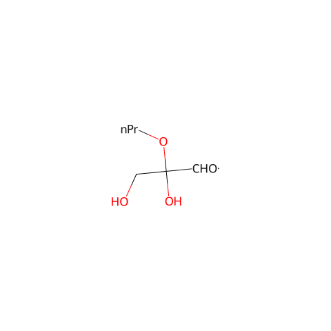 CCCOC(O)([C]=O)CO